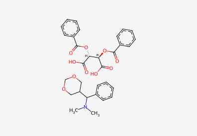 CN(C)C(c1ccccc1)C1COCOC1.O=C(O[C@@H](C(=O)O)[C@@H](OC(=O)c1ccccc1)C(=O)O)c1ccccc1